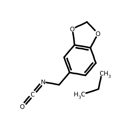 CCC.O=C=NCc1ccc2c(c1)OCO2